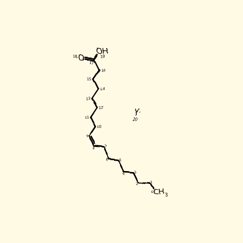 CCCCCCCC/C=C\CCCCCCCC(=O)O.[Y]